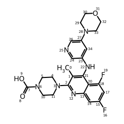 Cc1c(N2CCN(C(=O)O)CC2)nc2cc(F)cc(F)c2c1Nc1cncc(N2CCOCC2)c1